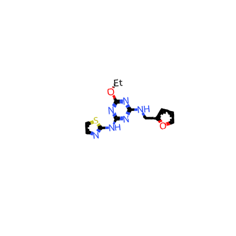 CCOc1nc(NCc2ccco2)nc(Nc2nccs2)n1